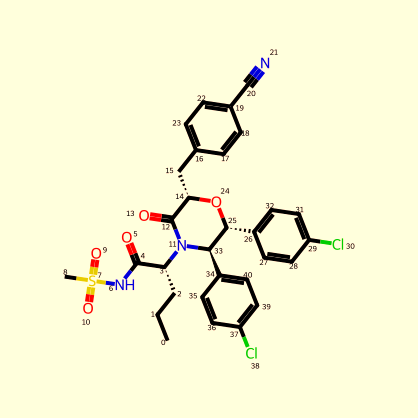 CCC[C@H](C(=O)NS(C)(=O)=O)N1C(=O)[C@H](Cc2ccc(C#N)cc2)O[C@H](c2ccc(Cl)cc2)[C@H]1c1ccc(Cl)cc1